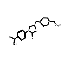 N=C(N)c1ccc(N2C[C@@H](CN3CCN(CC(=O)O)CC3)OC2=O)cc1